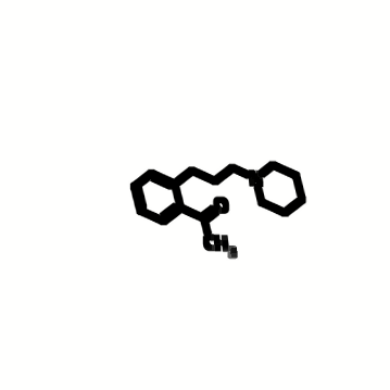 CC(=O)c1ccccc1CCCN1CCCCC1